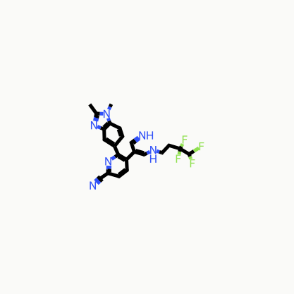 Cc1nc2cc(-c3nc(C#N)ccc3/C(C=N)=C/NCCC(F)(F)C(F)F)ccc2n1C